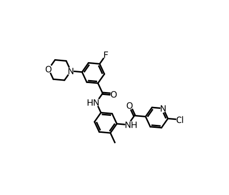 Cc1ccc(NC(=O)c2cc(F)cc(N3CCOCC3)c2)cc1NC(=O)c1ccc(Cl)nc1